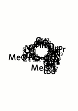 CCn1c(-c2cnccc2COC)c2c3cc(ccc31)-c1cc(O)cc(c1)C[C@H](NC(=O)C(C(C)C)N(C)C(=O)CN(C)C(=O)[C@@H]1[C@H](C(=O)OC)N1SC(C)(C)C)C(=O)N1CCC[C@H](N1)C(=O)OCC(C)(C)C2